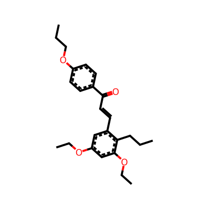 CCCOc1ccc(C(=O)C=Cc2cc(OCC)cc(OCC)c2CCC)cc1